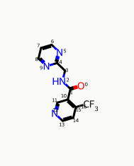 O=C(NCc1ncccn1)c1cnccc1C(F)(F)F